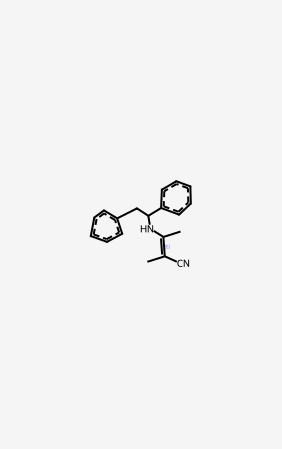 C/C(C#N)=C(/C)NC(Cc1ccccc1)c1ccccc1